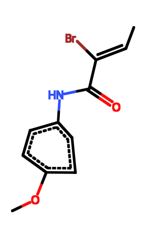 C/C=C(\Br)C(=O)Nc1ccc(OC)cc1